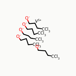 [O-]CCCC(Cl)(Cl)Cl.[O-]CCCC(Cl)(Cl)Cl.[O-]CCCC(Cl)(Cl)Cl.[O-]CCCC(Cl)(Cl)Cl.[O-]CCCC(Cl)(Cl)Cl.[V+5]